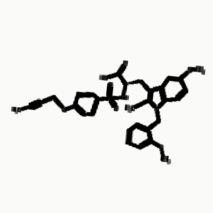 CC#CCOc1ccc(S(=O)(=O)N[C@@H](Cc2c(C)n(Cc3ccccc3OC)c3ccc(OC)cc23)C(=O)O)cc1